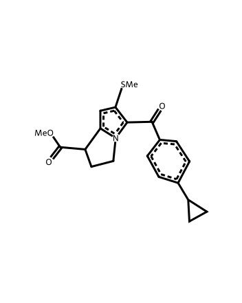 COC(=O)C1CCn2c1cc(SC)c2C(=O)c1ccc(C2CC2)cc1